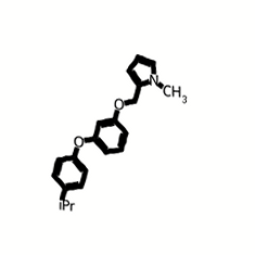 CC(C)c1ccc(Oc2cccc(OCc3cccn3C)c2)cc1